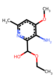 CCOC(O)c1nc(C)cc(OC)c1N